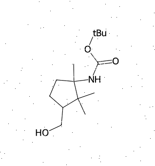 CC(C)(C)OC(=O)NC1(C)CCC(CO)C1(C)C